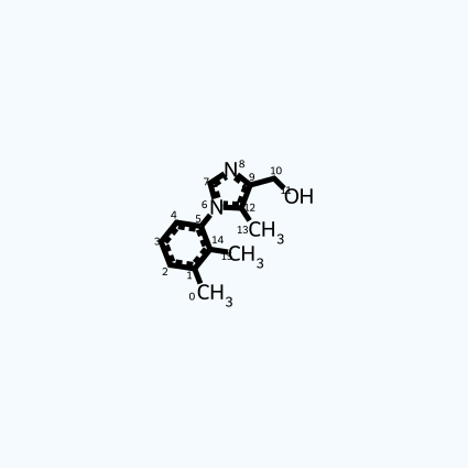 Cc1cccc(-n2cnc(CO)c2C)c1C